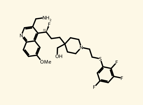 COc1ccc2ncc(CN)c([C@@H](F)CCC3(CO)CCN(CCSc4cc(F)cc(F)c4F)CC3)c2c1